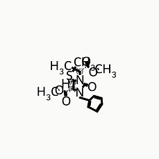 COC(=O)[C@@H]1[C@H]2SC(C)(C)[C@H](C(=O)OC)N2C(=O)N1Cc1ccccc1